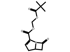 CC(C)(C)C(=O)OCOC(=O)C1=CCC2CC(=O)N12